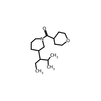 CCC(C(C)C)C1CCCN(C(=O)C2CCOCC2)C1